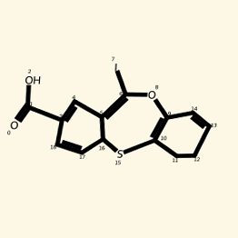 O=C(O)C1=CC2=C(I)OC3=C(CCC=C3)SC2C=C1